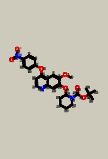 COc1cc2c(Oc3ccc([N+](=O)[O-])cc3)ccnc2cc1OC1CCCCN1C(=O)OC(C)(C)C